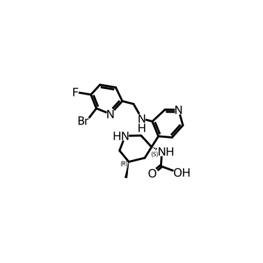 C[C@H]1CNC[C@@](NC(=O)O)(c2ccncc2NCc2ccc(F)c(Br)n2)C1